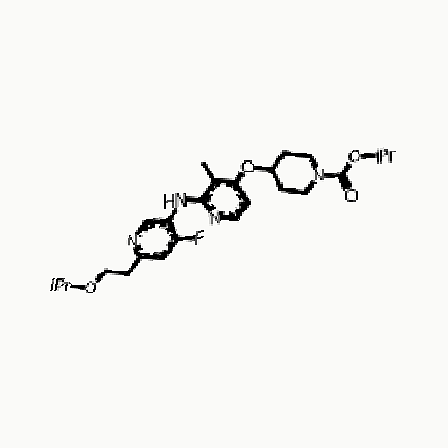 Cc1c(OC2CCN(C(=O)OC(C)C)CC2)ccnc1Nc1cnc(CCOC(C)C)cc1F